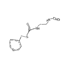 O=CNCCNC(=O)OCc1ccccc1